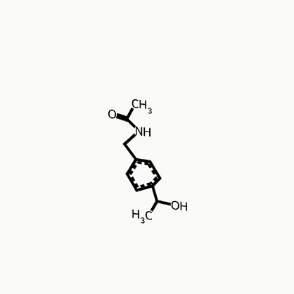 CC(=O)NCc1ccc(C(C)O)cc1